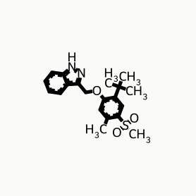 Cc1cc(OCc2n[nH]c3ccccc23)c(C(C)(C)C)cc1S(C)(=O)=O